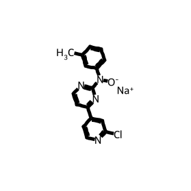 Cc1cccc(N([O-])c2nccc(-c3ccnc(Cl)c3)n2)c1.[Na+]